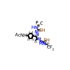 CC(=O)Nc1ccc(C(=N\N=C(/S)NCC(F)(F)F)/C(C)=N/N=C(\S)NCC(F)(F)F)cc1